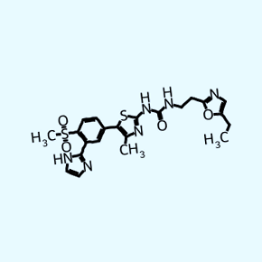 CCc1cnc(CCNC(=O)Nc2nc(C)c(-c3ccc(S(C)(=O)=O)c(-c4ncc[nH]4)c3)s2)o1